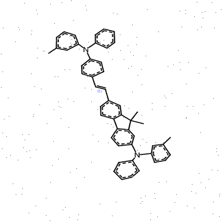 Cc1cccc(N(c2ccccc2)c2ccc(/C=C/c3ccc4c(c3)C(C)(C)c3cc(N(c5ccccc5)c5cccc(C)c5)ccc3-4)cc2)c1